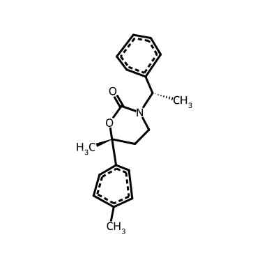 Cc1ccc([C@@]2(C)CCN([C@@H](C)c3ccccc3)C(=O)O2)cc1